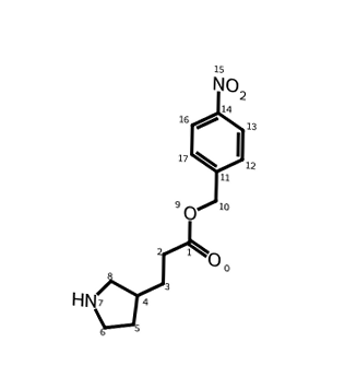 O=C(CCC1CCNC1)OCc1ccc([N+](=O)[O-])cc1